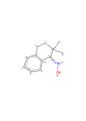 CC1(C)CCc2ccccc2C1=NO